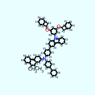 Cc1c(C)c2cc(N(c3ccc(-c4ccccc4)cc3)c3ccc(-c4ccc5c(c4)c4ccccc4n5-c4cc(OC5Cc6ccccc65)cc(OC5Cc6ccccc65)c4)cc3)ccc2c2ccccc12